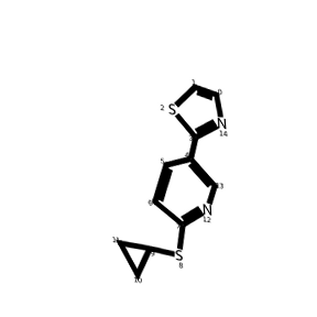 c1csc(-c2ccc(SC3CC3)nc2)n1